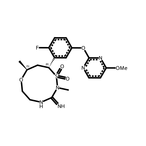 COc1ccnc(Oc2ccc(F)c([C@H]3C[C@H](C)OCCNC(=N)N(C)S3(=O)=O)c2)n1